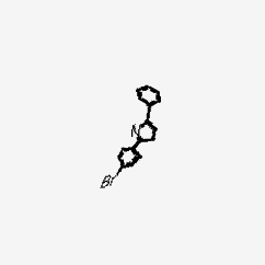 Brc1ccc(C2=NC(c3ccccc3)CC2)cc1